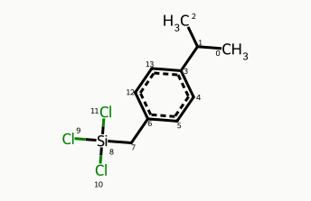 CC(C)c1ccc(C[Si](Cl)(Cl)Cl)cc1